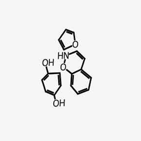 C1=Cc2ccccc2ON1.Oc1ccc(O)cc1.c1ccoc1